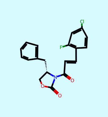 O=C(/C=C/c1ccc(Cl)cc1F)N1C(=O)OC[C@@H]1Cc1ccccc1